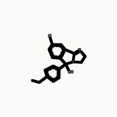 CCc1ccc(C2(O)c3ccc(Cl)cc3C3=NCCN32)cc1